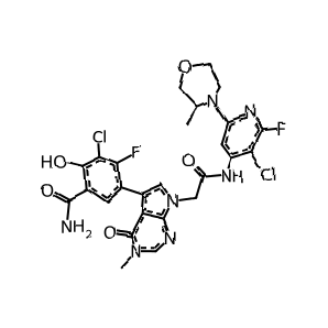 C[C@H]1COCCN1c1cc(NC(=O)Cn2cc(-c3cc(C(N)=O)c(O)c(Cl)c3F)c3c(=O)n(C)cnc32)c(Cl)c(F)n1